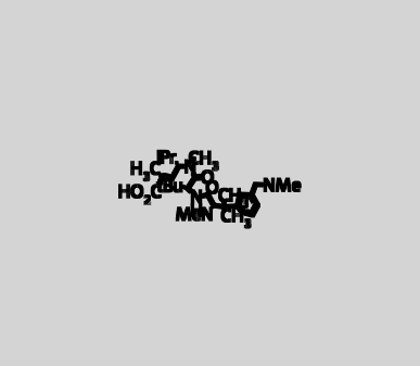 CNCc1cccc(C(C)(C)[C@H](NC)C(=O)N[C@H](C(=O)N(C)[C@H](/C=C(\C)C(=O)O)C(C)C)C(C)(C)C)c1